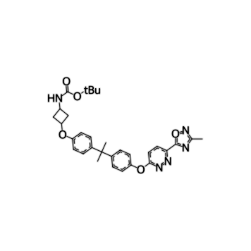 Cc1noc(-c2ccc(Oc3ccc(C(C)(C)c4ccc(OC5CC(NC(=O)OC(C)(C)C)C5)cc4)cc3)nn2)n1